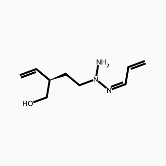 C=C/C=N\N(N)CC[C@H](C=C)CO